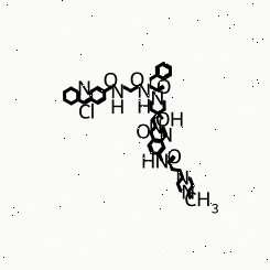 CN1CCN(CCC(=O)Nc2ccc3c(=O)n(CC4(O)CCN(C(=O)[C@H](Cc5ccccc5)NC(=O)CCNC(=O)c5ccc6c(Cl)c7c(nc6c5)CCCC7)CC4)cnc3c2)CC1